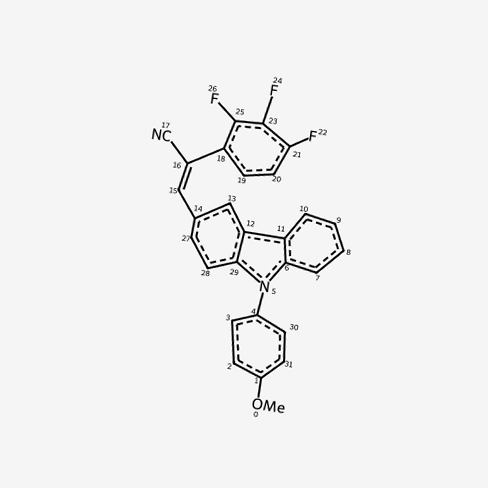 COc1ccc(-n2c3ccccc3c3cc(C=C(C#N)c4ccc(F)c(F)c4F)ccc32)cc1